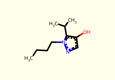 CCCCn1ncc(O)c1C(C)C